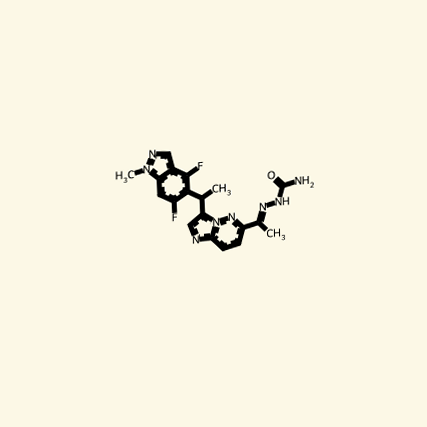 CC(=NNC(N)=O)c1ccc2ncc(C(C)c3c(F)cc4c(cnn4C)c3F)n2n1